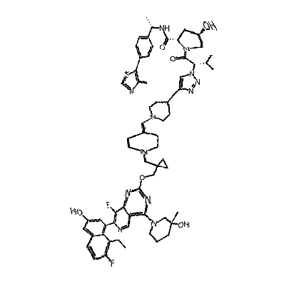 CCc1c(F)ccc2cc(O)cc(-c3ncc4c(N5CCC[C@@](C)(O)C5)nc(OCC5(CN6CCC(CN7CCC(c8cn([C@H](C(=O)N9C[C@H](O)C[C@H]9C(=O)N[C@@H](C)c9ccc(-c%10scnc%10C)cc9)C(C)C)nn8)CC7)CC6)CC5)nc4c3F)c12